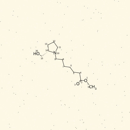 COC(=O)CCCCCCN1CCC[C@H]1CO